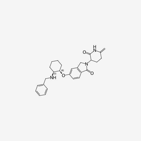 C=C1CCC(N2Cc3cc(O[C@@H]4CCCC[C@@H]4NCc4ccccc4)ccc3C2=O)C(=O)N1